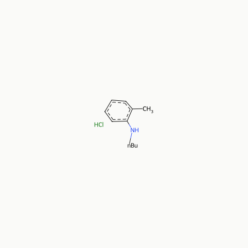 CCCCNc1ccccc1C.Cl